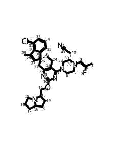 CC(F)=CN1CCN(c2nc(OCC3CCC4CCCN43)nc3c2CC[C@@]2(C=C(C)c4c(Cl)cccc42)C3)C[C@@H]1CC#N